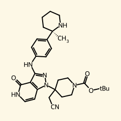 CC(C)(C)OC(=O)N1CCC(CC#N)(n2nc(Nc3ccc([C@@]4(C)CCCCN4)cc3)c3c(=O)[nH]ccc32)CC1